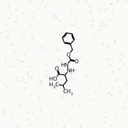 CC(C)CC(NNC(=O)OCc1ccccc1)C(=O)O